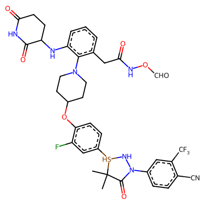 CC1(C)C(=O)N(c2ccc(C#N)c(C(F)(F)F)c2)N[SH]1c1ccc(OC2CCN(c3c(CC(=O)NOC=O)cccc3NC3CCC(=O)NC3=O)CC2)c(F)c1